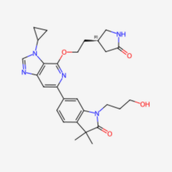 CC1(C)C(=O)N(CCCO)c2cc(-c3cc4ncn(C5CC5)c4c(OCC[C@H]4CNC(=O)C4)n3)ccc21